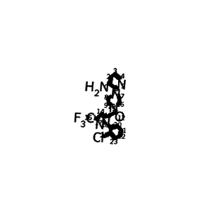 Nc1cccnc1N1CCN(C(=O)c2cc(C(F)(F)F)nn2-c2ccccc2Cl)CC1